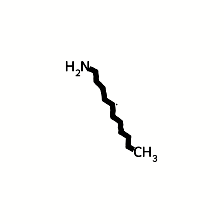 CCCCCC[CH]CCCCN